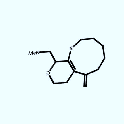 C=C1CCCCCSC2=C1CCOC2CNC